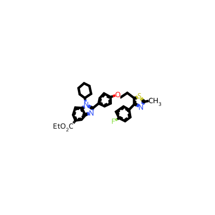 CCOC(=O)c1ccc2c(c1)nc(-c1ccc(OCCc3sc(C)nc3-c3ccc(F)cc3)cc1)n2C1CCCCC1